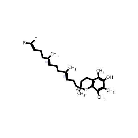 C/C(=C\CC/C(C)=C/CC[C@]1(C)CCc2c(C)c(O)c(C)c(C)c2O1)CCC=C(F)F